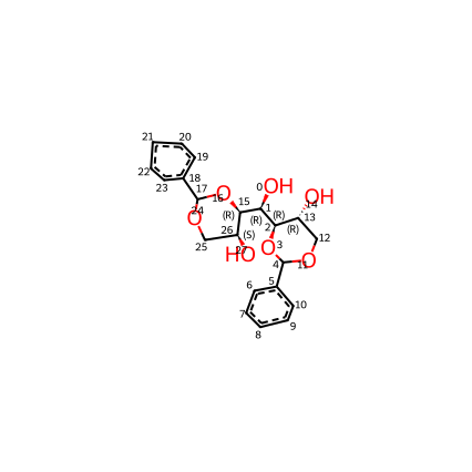 O[C@@H]([C@@H]1OC(c2ccccc2)OC[C@H]1O)[C@@H]1OC(c2ccccc2)OC[C@@H]1O